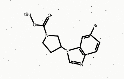 CC(C)(C)OC(=O)N1CCC(n2cnc3ccc(Br)cc32)C1